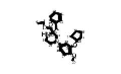 CCOC(=O)[C@]1(Cc2ccccc2)CN(c2ccc(OC)c(OC3CCCC3)c2)CCN1